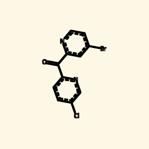 O=C(c1ccc(Cl)cn1)c1cc(Br)ccn1